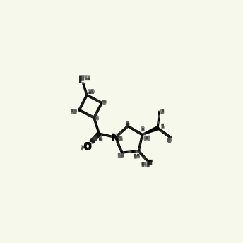 CC(C)[C@@H]1CN(C(=O)C2CC(F)C2)CC1F